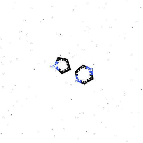 c1cc[nH]c1.c1cnccn1